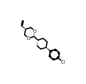 C=C[C@H]1CO[C@H]([C@H]2CC[C@H](c3ccc(Cl)cc3)CC2)OC1